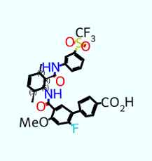 COc1cc(F)c(-c2ccc(C(=O)O)cc2)cc1C(=O)N[C@@H]1[C@H](C(=O)Nc2cccc(S(=O)(=O)C(F)(F)F)c2)[C@H](C)C=C[C@@H]1C